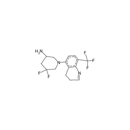 NC1CN(c2ccc(C(F)(F)F)c3c2CCC=N3)CC(F)(F)C1